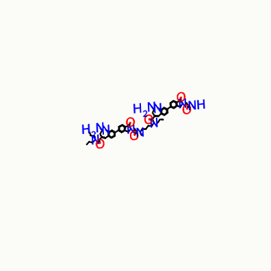 CCCN(CCC)C(=O)C1=Cc2ccc(-c3ccc4c(c3)CN(CC(=O)N(C)CCCCN(CCC)C(=O)C3=Cc5ccc(-c6ccc7c(c6)CN(CC(=O)NC)C7=O)cc5N=C(N)C3)C4=O)cc2N=C(N)C1